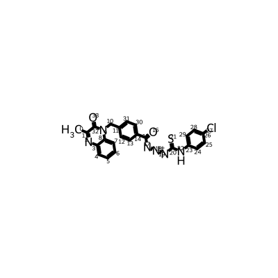 Cc1nc2ccccc2n(Cc2ccc(C(=O)N=[N+]=NC(=S)Nc3ccc(Cl)cc3)cc2)c1=O